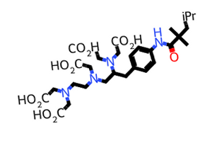 CC(C)CC(C)(C)C(=O)Nc1ccc(CC(CN(CCN(CC(=O)O)CC(=O)O)CC(=O)O)N(CC(=O)O)CC(=O)O)cc1